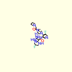 NC1NN2CC(F)CNC2C1C(=O)Nc1cncc(F)c1N1CCN(C(=O)CN2CCCC2)CC1